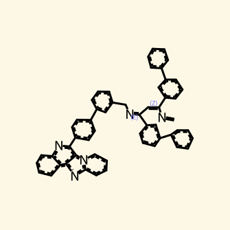 C=N/C(=C\C(=N/Cc1cccc(-c2ccc(-c3nc4ccccc4c4nc5ccccn5c34)cc2)c1)c1cccc(-c2ccccc2)c1)c1cccc(-c2ccccc2)c1